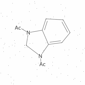 CC(=O)N1[CH]N(C(C)=O)c2ccccc21